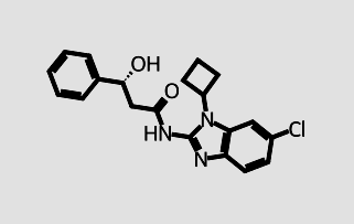 O=C(C[C@@H](O)c1ccccc1)Nc1nc2ccc(Cl)cc2n1C1CCC1